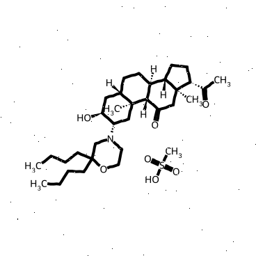 CCCCC1(CCCC)CN([C@H]2C[C@@]3(C)[C@@H](CC[C@H]4[C@@H]5CC[C@H](C(C)=O)[C@@]5(C)CC(=O)[C@@H]43)C[C@@H]2O)CCO1.CS(=O)(=O)O